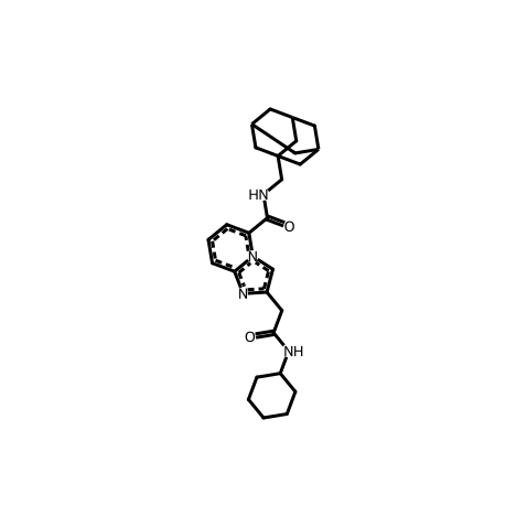 O=C(Cc1cn2c(C(=O)NCC34CC5CC(CC(C5)C3)C4)cccc2n1)NC1CCCCC1